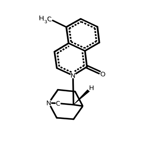 Cc1cccc2c(=O)n([C@H]3CN4CCC3CC4)ccc12